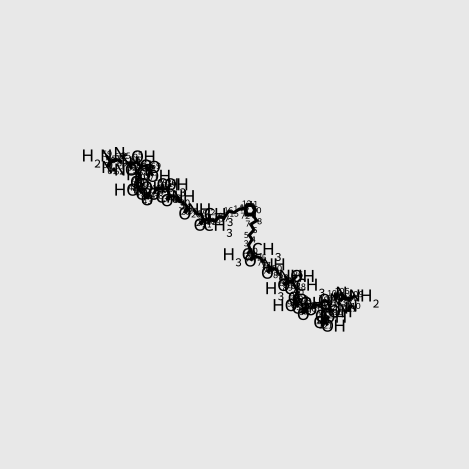 CC(C)(CCCCCCc1cccc(CCCCCCC(C)(C)C(=O)CCNC(=O)CCNC(=O)C(O)C(C)(C)COP(=O)(O)OP(=O)(O)OCC2OC(n3cnc4c(N)ncnc43)C(O)C2OP(=O)(O)O)c1)C(=O)CCNC(=O)CCNC(=O)C(O)C(C)(C)COP(=O)(O)OP(=O)(O)OCC1OC(n2cnc3c(N)ncnc32)C(O)C1OP(=O)(O)O